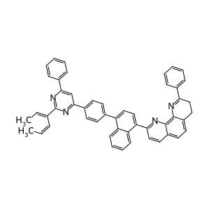 C/C=C\C(=C/C)c1nc(-c2ccccc2)cc(-c2ccc(-c3ccc(-c4ccc5ccc6c(c5n4)N=C(c4ccccc4)CC6)c4ccccc34)cc2)n1